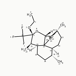 CCO[C@@]1(C(F)(F)F)O[C@@H]2O[C@]3(C)CC[C@H]4[C@H](C)CC[C@@H]([C@H]1C)C24OO3